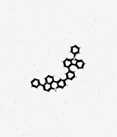 c1ccc(-c2ccc3c4c(cccc24)-c2cc(-c4cccc(-c5cccc6c5c5ccccc5n6-c5ccccc5)c4)ccc2O3)cc1